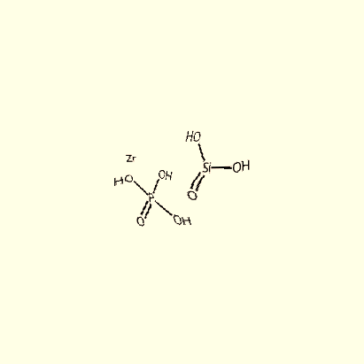 O=P(O)(O)O.O=[Si](O)O.[Zr]